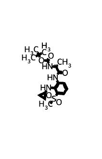 C[C@H](NC(=O)OC(C)(C)C)C(=O)Nc1cccc(S(C)(=O)=O)c1NC1CC1